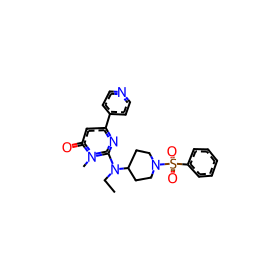 CCN(c1nc(-c2ccncc2)cc(=O)n1C)C1CCN(S(=O)(=O)c2ccccc2)CC1